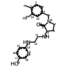 Cc1ccc(CN2CCC(NCCNc3ccc(O)cn3)C2=O)cc1F